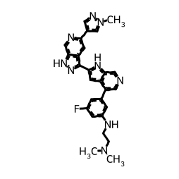 CN(C)CCNc1cc(F)cc(-c2cncc3[nH]c(-c4n[nH]c5cnc(-c6cnn(C)c6)cc45)cc23)c1